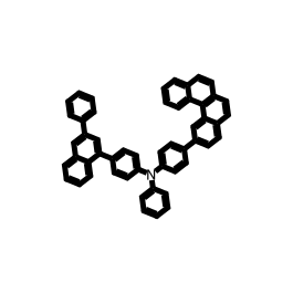 c1ccc(-c2cc(-c3ccc(N(c4ccccc4)c4ccc(-c5ccc6ccc7ccc8ccccc8c7c6c5)cc4)cc3)c3ccccc3c2)cc1